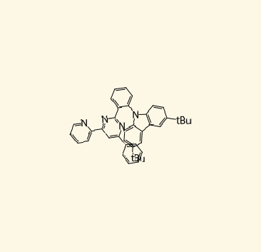 CC(C)(C)c1ccc2c(c1)c1cc(C(C)(C)C)ccc1n2-c1ccccc1-c1nc(-c2ccccc2)cc(-c2ccccn2)n1